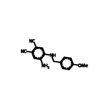 COc1ccc(CNc2cc(C#N)c(C#N)cc2N)cc1